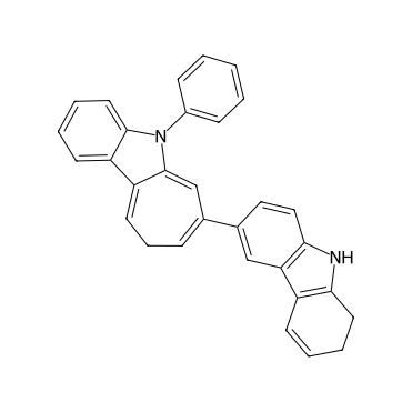 C1=Cc2c([nH]c3ccc(C4=CCC=c5c(n(-c6ccccc6)c6ccccc56)=C4)cc23)CC1